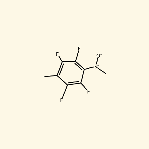 [CH2]c1c(F)c(F)c([S+](C)[O-])c(F)c1F